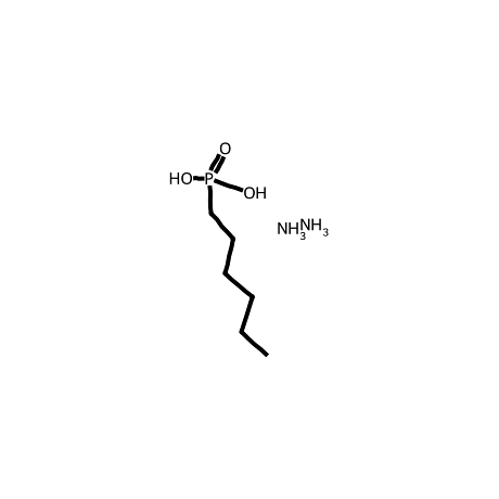 CCCCCCP(=O)(O)O.N.N